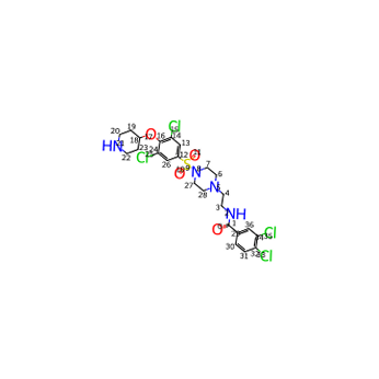 O=C(NCCN1CCN(S(=O)(=O)c2cc(Cl)c(OC3CCNCC3)c(Cl)c2)CC1)c1ccc(Cl)c(Cl)c1